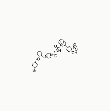 O=C(CC12CC3CC(C1)CC(c1ccc(O)c([N+](=O)[O-])c1)(C3)C2)NCC(=O)N1CCN(Cc2ccccc2OCc2ccc(Br)cc2)CC1